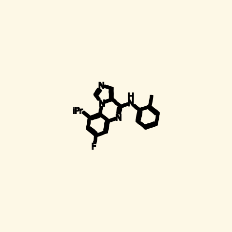 Cc1ccccc1Nc1nc2cc(F)cc(C(C)C)c2n2cncc12